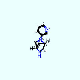 c1cncc(N2C[C@@H]3C[C@H]2CN3)c1